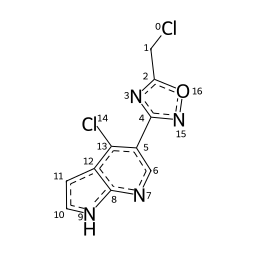 ClCc1nc(-c2cnc3[nH]ccc3c2Cl)no1